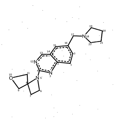 c1cc2nc(N3CCC34COC4)ncc2cc1CN1CCCC1